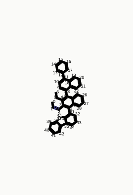 C/C=C\c1c(CC)c(-c2ccc(-c3ccccc3)c3ccccc23)c2ccccc2c1-c1cccc2c1sc1ccccc12